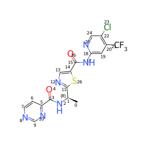 C[C@@H](NC(=O)c1ccncn1)c1ncc(C(=O)Nc2cc(C(F)(F)F)c(Cl)cn2)s1